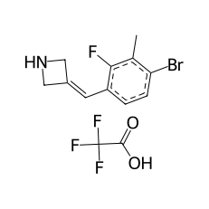 Cc1c(Br)ccc(C=C2CNC2)c1F.O=C(O)C(F)(F)F